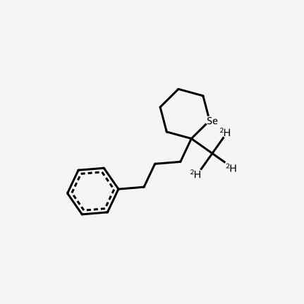 [2H]C([2H])([2H])C1(CCCc2ccccc2)CCCC[Se]1